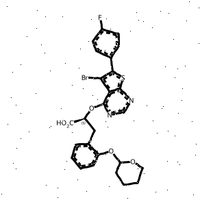 O=C(O)[C@H](Cc1ccccc1OC1CCCCO1)Oc1ncnc2sc(-c3ccc(F)cc3)c(Br)c12